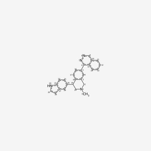 CN1Cc2cc(-c3nncc4ccccc34)ccc2C(c2ccc3[nH]ccc3c2)C1